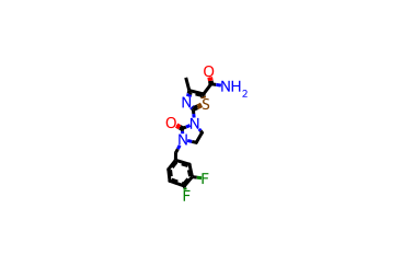 Cc1nc(N2CCN(Cc3ccc(F)c(F)c3)C2=O)sc1C(N)=O